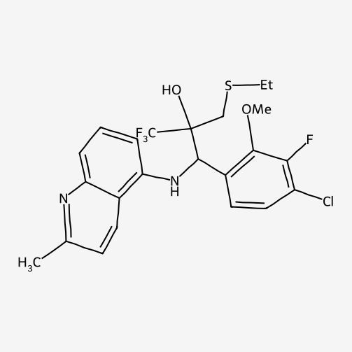 CCSCC(O)(C(Nc1cccc2nc(C)ccc12)c1ccc(Cl)c(F)c1OC)C(F)(F)F